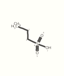 C.CCCS(=O)(=O)O